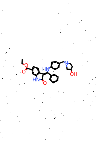 CCOC(=O)c1ccc2c(c1)NC(=O)C2=C(Nc1ccc(CN2CCC(O)C2)cc1)c1ccccc1